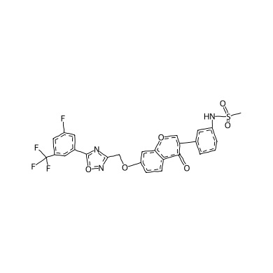 CS(=O)(=O)Nc1cccc(-c2coc3cc(OCc4noc(-c5cc(F)cc(C(F)(F)F)c5)n4)ccc3c2=O)c1